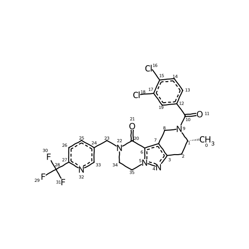 C[C@@H]1Cc2nn3c(c2CN1C(=O)c1ccc(Cl)c(Cl)c1)C(=O)N(Cc1ccc(C(F)(F)F)nc1)CC3